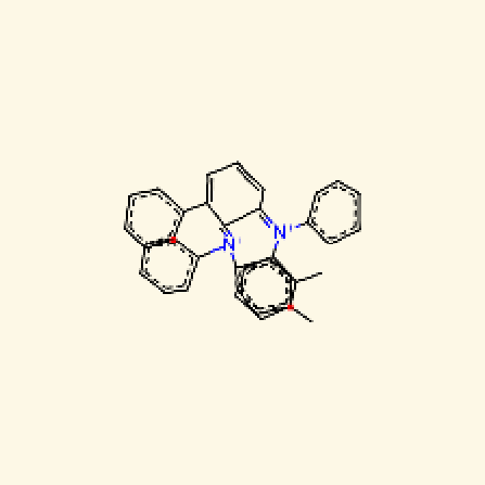 Cc1cccc([N+](=C2C=CC=C(c3ccccc3)C2=[N+](c2ccccc2)c2cccc(C)c2)c2ccccc2)c1